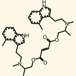 Cc1cccc2[nH]cc(CCN(C)C(C)COC(=O)/C=C/C(=O)OCC(C)N(C)CCc3c[nH]c4cccc(C)c34)c12